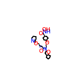 O=C(NO)c1ccc(OCCN(C(=O)/C=C/COc2ccccn2)c2cc3ccccc3o2)cc1